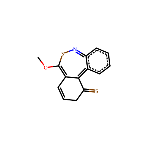 COC1=C2C=CCC(=S)C2=c2ccccc2=NS1